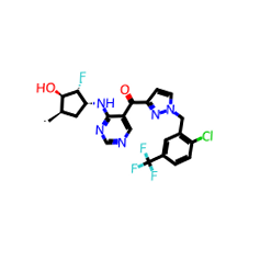 [CH2][C@@H]1C[C@@H](Nc2ncncc2C(=O)c2ccn(Cc3cc(C(F)(F)F)ccc3Cl)n2)[C@@H](F)[C@@H]1O